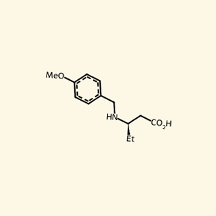 CC[C@H](CC(=O)O)NCc1ccc(OC)cc1